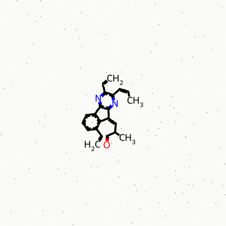 C=Cc1cccc2c1/C(=C\C(C)C=O)c1nc(/C=C\C)c(C=C)nc1-2